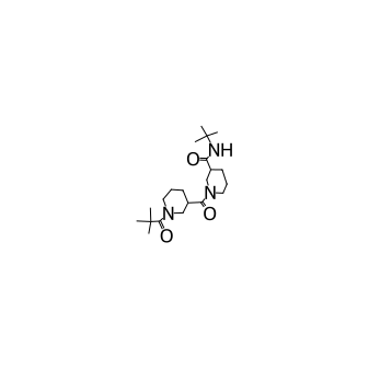 CC(C)(C)NC(=O)C1CCCN(C(=O)C2CCCN(C(=O)C(C)(C)C)C2)C1